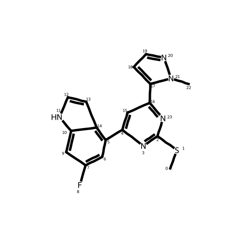 CSc1nc(-c2cc(F)cc3[nH]ccc23)cc(-c2ccnn2C)n1